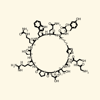 C[C@@H](O)[C@@H]1NC(=O)[C@@H](NC(=O)C(CS)NC(=O)CN)Cn2cc(nn2)CCC[C@H](C(=O)N[C@@H](Cc2ccc(O)cc2)C(=O)O)NC(=O)[C@H](CCC(N)=O)NC(=O)C(Cc2c[nH]c3ccccc23)NC(=O)[C@H](CCCNC(N)=O)NC(=O)[C@H](CS)NC(=O)[C@H](CCCNC(=N)N)NC(=O)C2CCCN2C(=O)[C@H](CC(=O)O)NC1=O